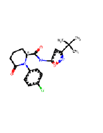 CC(C)(C)c1cc(NC(=O)[C@@H]2CCCC(=O)N2c2ccc(Cl)cc2)on1